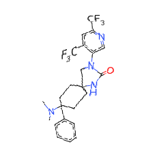 CN(C)C1(c2ccccc2)CCC2(CC1)CN(c1cnc(C(F)(F)F)cc1C(F)(F)F)C(=O)N2